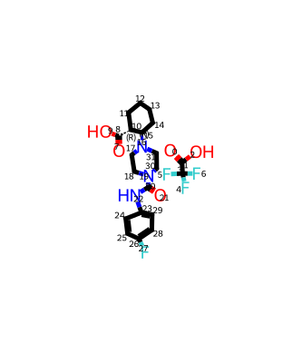 O=C(O)C(F)(F)F.O=C(O)[C@@H]1CCCC[C@H]1N1CCN(C(=O)Nc2ccc(F)cc2)CC1